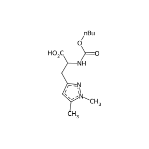 CCCCOC(=O)NC(Cc1cc(C)n(C)n1)C(=O)O